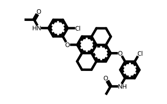 CC(=O)Nc1ccc(Cl)c(Oc2cc3c4c(c(Oc5cc(NC(C)=O)ccc5Cl)cc5c4c2CCC5)CCC3)c1